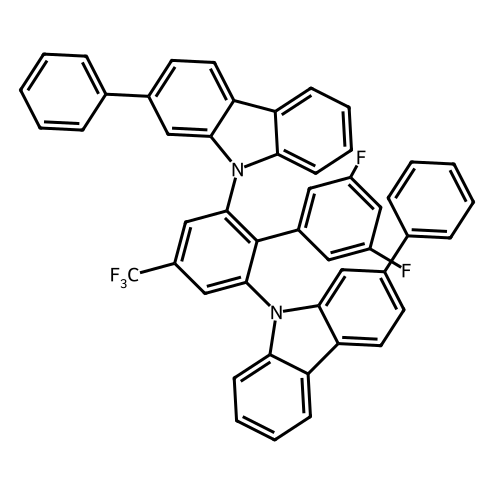 Fc1cc(F)cc(-c2c(-n3c4ccccc4c4ccc(-c5ccccc5)cc43)cc(C(F)(F)F)cc2-n2c3ccccc3c3ccc(-c4ccccc4)cc32)c1